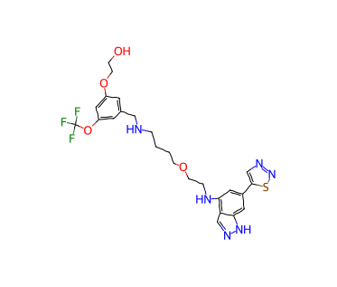 OCCOc1cc(CNCCCCOCCNc2cc(-c3cnns3)cc3[nH]ncc23)cc(OC(F)(F)F)c1